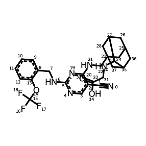 N#Cc1cnc(NCc2ccccc2OC(F)(F)F)nc1NCC12CC3CC(C1)C(NCC(=O)O)C(C3)C2